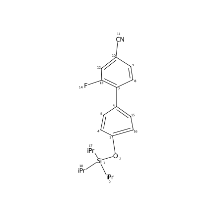 CC(C)[Si](Oc1ccc(-c2ccc(C#N)cc2F)cc1)(C(C)C)C(C)C